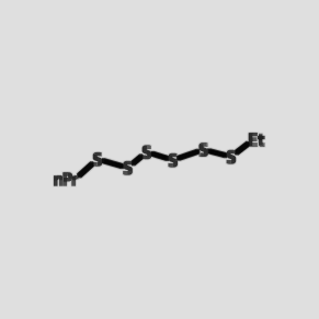 CCCSSSSSSCC